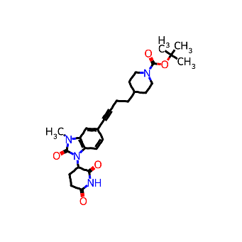 Cn1c(=O)n(C2CCC(=O)NC2=O)c2ccc(C#CCCC3CCN(C(=O)OC(C)(C)C)CC3)cc21